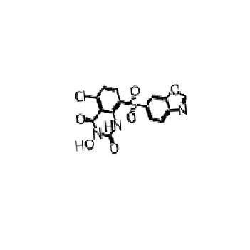 O=c1[nH]c2c(S(=O)(=O)c3ccc4ncoc4c3)ccc(Cl)c2c(=O)n1O